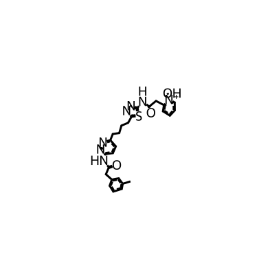 Cc1cccc(CC(=O)Nc2ccc(CCCCc3nnc(NC(=O)Cc4cccc[n+]4O)s3)nn2)c1